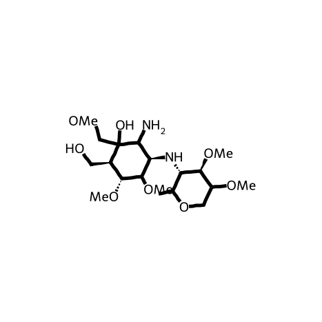 COCC1(O)C(N)[C@@H](N[C@H]2C(C)OCC(OC)[C@@H]2OC)C(OC)[C@H](OC)[C@H]1CO